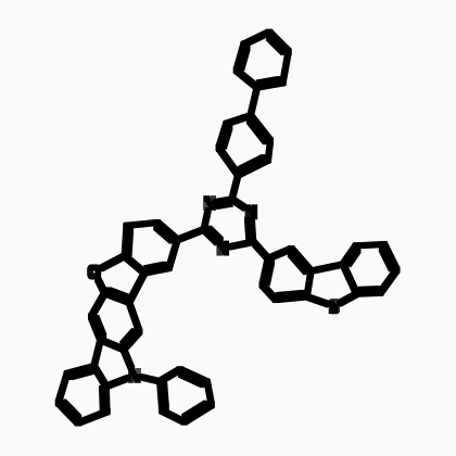 c1ccc(-c2ccc(-c3nc(-c4ccc5oc6cc7c8ccccc8n(-c8ccccc8)c7cc6c5c4)nc(-c4ccc5sc6ccccc6c5c4)n3)cc2)cc1